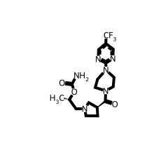 C[C@@H](CN1CC[C@H](C(=O)N2CCN(c3ncc(C(F)(F)F)cn3)CC2)C1)OC(N)=O